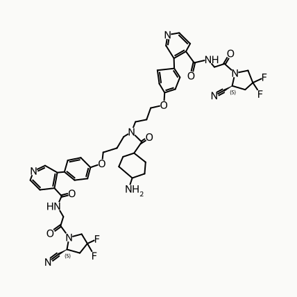 N#C[C@@H]1CC(F)(F)CN1C(=O)CNC(=O)c1ccncc1-c1ccc(OCCCN(CCCOc2ccc(-c3cnccc3C(=O)NCC(=O)N3CC(F)(F)C[C@H]3C#N)cc2)C(=O)C2CCC(N)CC2)cc1